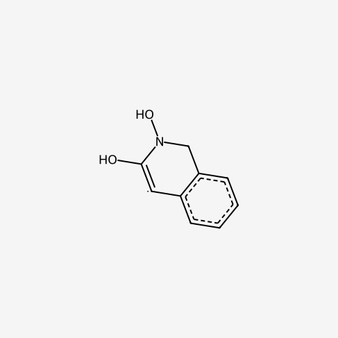 OC1=[C]c2ccccc2CN1O